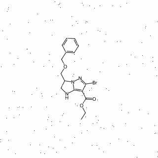 CCOC(=O)c1c(Br)nn2c1NCC2COCc1ccccc1